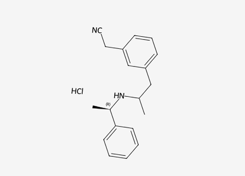 CC(Cc1cccc(CC#N)c1)N[C@H](C)c1ccccc1.Cl